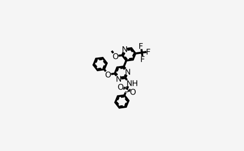 COc1ncc(C(F)(F)F)cc1-c1cc(Oc2ccccc2)nc(NS(=O)(=O)c2ccccc2)n1